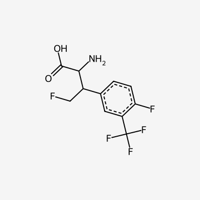 NC(C(=O)O)C(CF)c1ccc(F)c(C(F)(F)F)c1